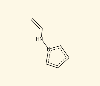 C=CNn1cccc1